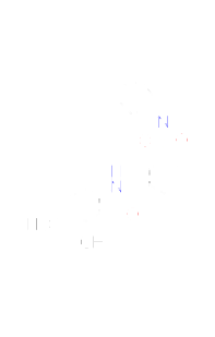 Cc1ccc(NC(=O)c2cccc(S(=O)(=O)N3CCc4ccccc43)c2)cc1C